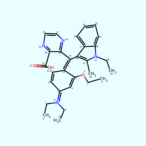 CCOC1=CC(=[N+](CC)CC)C=C/C1=C(\c1nccnc1C(=O)O)c1c(C)n(CC)c2ccccc12